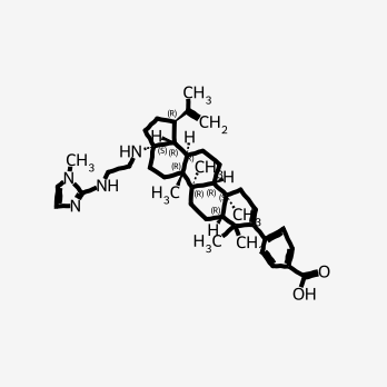 C=C(C)[C@@H]1CC[C@]2(NCCNc3nccn3C)CC[C@]3(C)[C@H](CC[C@@H]4[C@@]5(C)CC=C(c6ccc(C(=O)O)cc6)C(C)(C)[C@@H]5CC[C@]43C)[C@@H]12